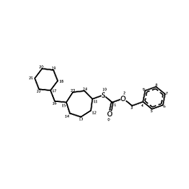 O=C(OCc1ccccc1)SC1CCCC(CC2CCCCC2)CC1